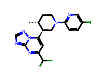 C[C@@H]1CCN(c2ccc(F)cn2)C[C@H]1c1cc(C(F)F)nc2ncnn12